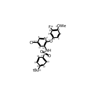 COc1ccc(Oc2ncc(Cl)cc2NS(=O)(=O)c2ccc(C(C)(C)C)cc2)cc1F